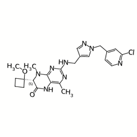 COC1([C@H]2C(=O)Nc3c(C)nc(NCc4cnn(Cc5ccnc(Cl)c5)c4)nc3N2C)CCC1